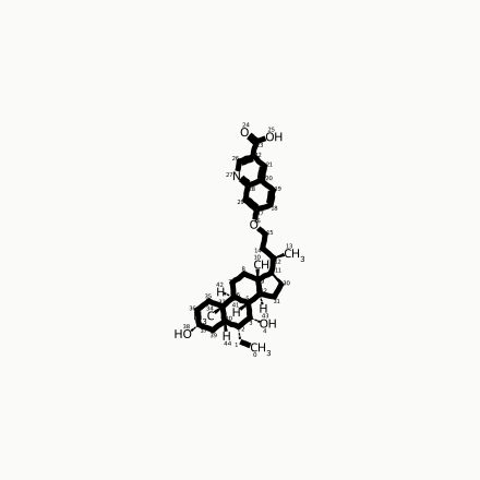 CC[C@H]1[C@@H](O)[C@@H]2[C@H](CC[C@]3(C)[C@@H]([C@H](C)CCOc4ccc5cc(C(=O)O)cnc5c4)CC[C@@H]23)[C@@]2(C)CC[C@@H](O)C[C@@H]12